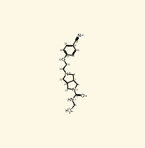 CCNC(=O)N1CC2CN(CCOc3ccc(C#N)cc3)CC2C1